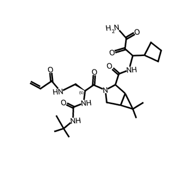 C=CC(=O)NC[C@H](NC(=O)NC(C)(C)C)C(=O)N1CC2C(C1C(=O)NC(C(=O)C(N)=O)C1CCC1)C2(C)C